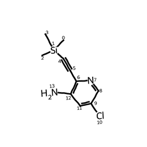 C[Si](C)(C)C#Cc1ncc(Cl)cc1N